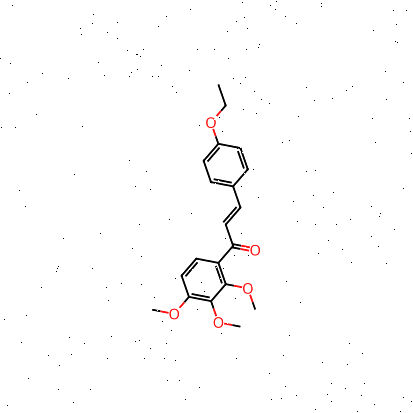 CCOc1ccc(/C=C/C(=O)c2ccc(OC)c(OC)c2OC)cc1